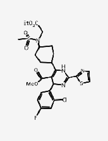 CCOC(=O)CN(C1CCC(C2=C(C(=O)OC)C(c3ccc(F)cc3Cl)N=C(c3nccs3)N2)CC1)S(C)(=O)=O